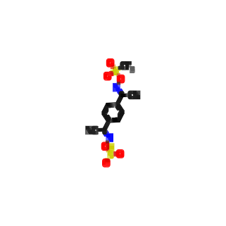 N#CC(=NO[SH](=O)=O)c1ccc(C(C#N)=NOS(=O)(=O)C(F)(F)F)cc1